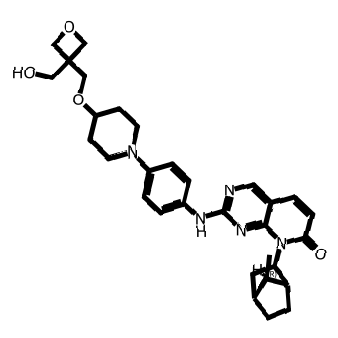 C[C@@H]1C2CCC1C(n1c(=O)ccc3cnc(Nc4ccc(N5CCC(OCC6(CO)COC6)CC5)cc4)nc31)C2